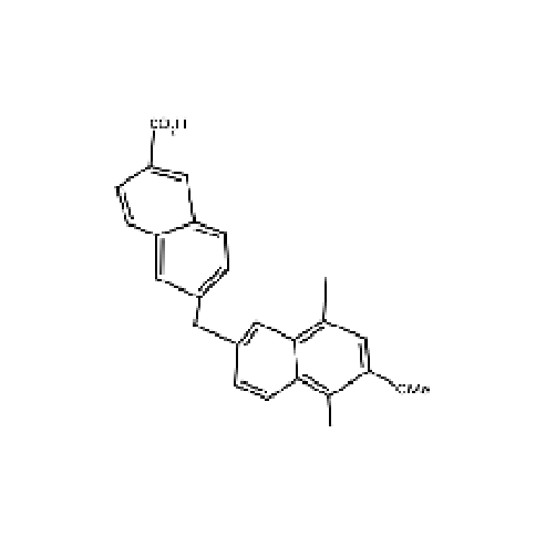 COc1cc(C)c2cc(Cc3ccc4cc(C(=O)O)ccc4c3)ccc2c1C